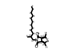 CCCCCCCCCCC(C)CN1C(=O)c2c(C)sc(C)c2C1=O